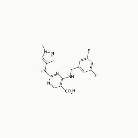 Cn1cc(Nc2ncc(C(=O)O)c(NCc3cc(F)cc(F)c3)n2)cn1